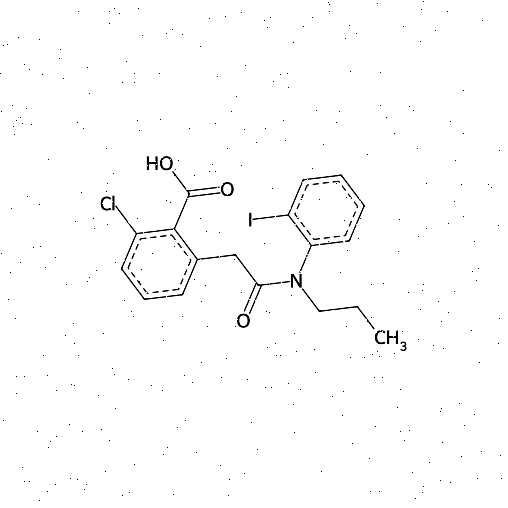 CCCN(C(=O)Cc1cccc(Cl)c1C(=O)O)c1ccccc1I